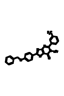 CCCn1c(-c2cccc(C(F)(F)F)c2)nc2c(c1=O)[N]C(c1ccc(OCc3ccccc3)cc1)=N2